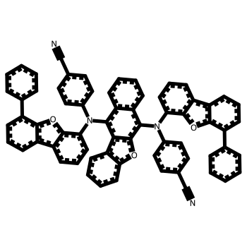 N#Cc1ccc(N(c2cccc3c2oc2c(-c4ccccc4)cccc23)c2c3ccccc3c(N(c3ccc(C#N)cc3)c3cccc4c3oc3c(-c5ccccc5)cccc34)c3c2oc2ccccc23)cc1